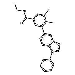 CCNC(=O)c1cc(F)c(C)c(-c2ccc3c(cnn3-c3ccccc3)c2)c1